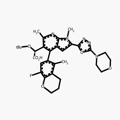 Cc1nc2c(cc(-c3nnc(N4CCOCC4)o3)n2C)c(-c2cc(F)c3c(c2C)CCCO3)c1[C@H](OC(C)(C)C)C(=O)O